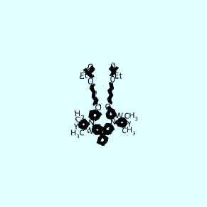 CCC1(COCCCCCCOc2ccc(N(c3ccc(C4(c5ccc(N(c6ccc(OCCCCCCOCC7(CC)COC7)cc6)c6cc(C)[c]([Y])c(C)[c]6[W])cc5)CCCCC4)cc3)c3cc(C)[c]([Y])c(C)[c]3[W])cc2)COC1